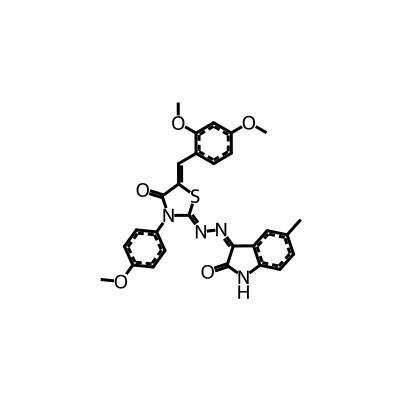 COc1ccc(N2C(=O)C(=Cc3ccc(OC)cc3OC)SC2=NN=C2C(=O)Nc3ccc(C)cc32)cc1